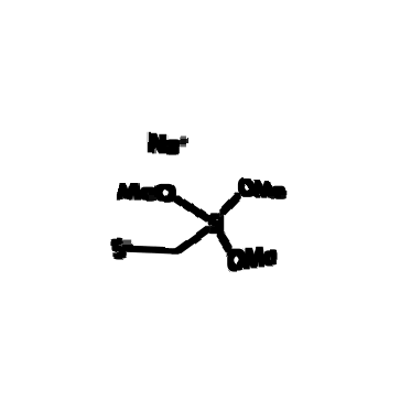 CO[Si](C[S-])(OC)OC.[Na+]